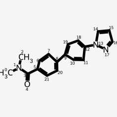 CN(C)C(=O)c1ccc(-c2ccc(-n3cccn3)cc2)cc1